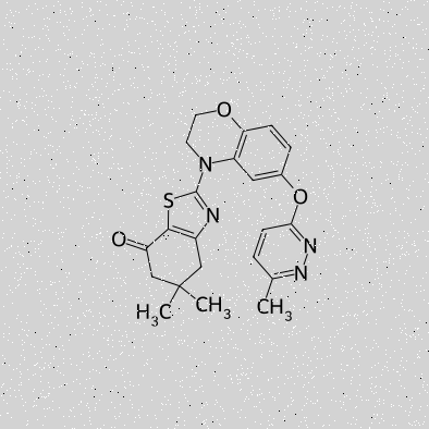 Cc1ccc(Oc2ccc3c(c2)N(c2nc4c(s2)C(=O)CC(C)(C)C4)CCO3)nn1